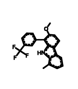 COc1ccc2c([nH]c3c(C)cccc32)c1-c1cccc(C(F)(F)F)c1